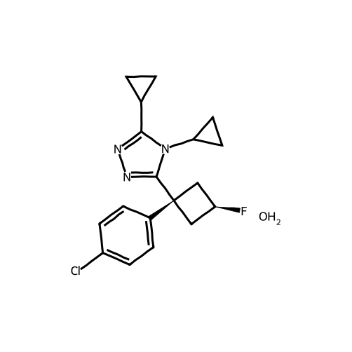 F[C@H]1C[C@](c2ccc(Cl)cc2)(c2nnc(C3CC3)n2C2CC2)C1.O